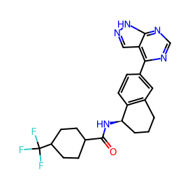 O=C(N[C@@H]1CCCc2cc(-c3ncnc4[nH]ncc34)ccc21)C1CCC(C(F)(F)F)CC1